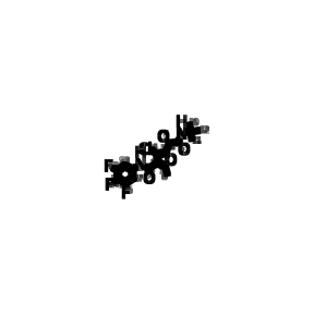 Cc1oc(C(=O)C(=O)NC(C)(C)C)c(Cl)c1C(=O)Nc1cc(F)c(F)c(F)c1